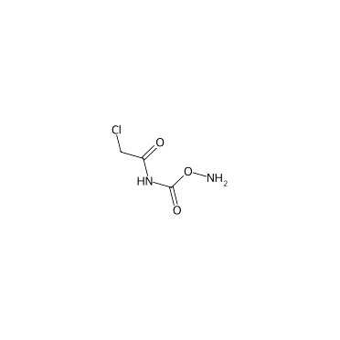 NOC(=O)NC(=O)CCl